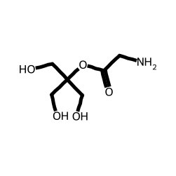 NCC(=O)OC(CO)(CO)CO